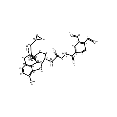 O=Cc1ccc(C(=O)NCC(=O)N[C@@H]2CC[C@@]3(O)[C@H]4Cc5ccc(O)c6c5[C@@]3(CCN4CC3CC3)C2O6)cc1C=O